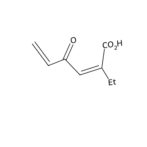 C=CC(=O)C=C(CC)C(=O)O